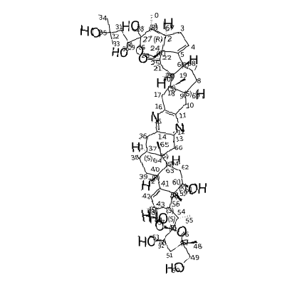 C[C@@H]1[C@H]2CC=C3[C@@H]4CC[C@H]5Cc6nc7c(nc6C[C@]5(C)[C@H]4CC(=O)[C@@]32COC1(O)[C@H](O)CC(C)(C)O)C[C@@H]1CC[C@H]2C3=C[C@@H]4O[C@]5(O[C@](C)(CO)C[C@H]5O)[C@@H](C)[C@]4(O)[C@@]3(C)[C@H](O)C[C@@H]2[C@@]1(C)C7